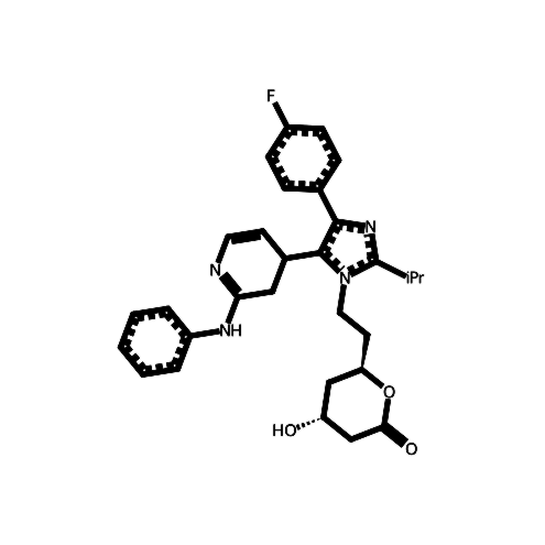 CC(C)c1nc(-c2ccc(F)cc2)c(C2C=CN=C(Nc3ccccc3)C2)n1CC[C@@H]1C[C@@H](O)CC(=O)O1